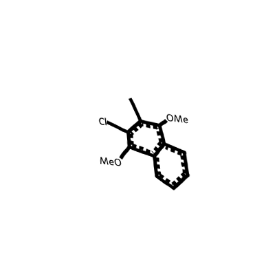 COc1c(C)c(Cl)c(OC)c2ccccc12